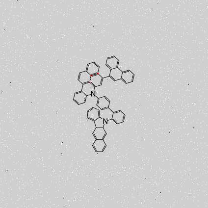 C1=c2ccccc2=CC2C1c1ccccc1N2c1ccccc1-c1ccc(N(c2cccc(-c3cc4ccccc4c4ccccc34)c2)c2ccccc2-c2ccc3ccccc3c2)cc1